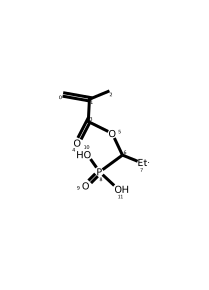 C=C(C)C(=O)OC([CH]C)P(=O)(O)O